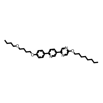 CCCCCCCCOc1cnc(-c2ccc(-c3ccc(OCCCCOCCCC)cc3)nc2)cn1